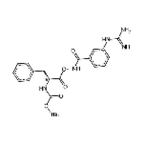 CC(C)(C)OC(=O)N[C@@H](Cc1ccccc1)C(=O)ONC(=O)c1cccc(NC(=N)N)c1